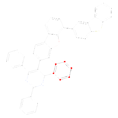 c1ccc(C2=NC(c3ccccc3)=C(c3ccc4c(oc5c(-c6ccc7sc8ccccc8c7c6)cccc54)c3-c3ccccc3)C(c3ccccc3)N2)cc1